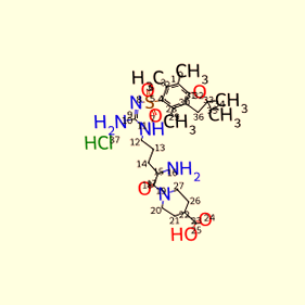 Cc1c(C)c(S(=O)(=O)/N=C(/N)NCCCC(N)C(=O)N2CCC(C(=O)O)CC2)c(C)c2c1OC(C)(C)C2.Cl